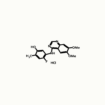 COc1cc2ncnc(Nc3cc(O)c(C)cc3F)c2cc1OC.Cl